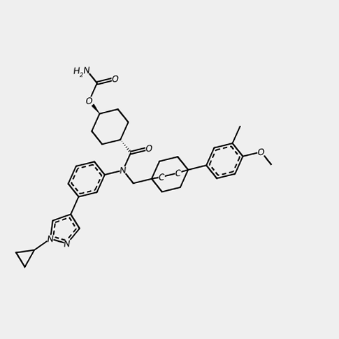 COc1ccc(C23CCC(CN(c4cccc(-c5cnn(C6CC6)c5)c4)C(=O)[C@H]4CC[C@H](OC(N)=O)CC4)(CC2)CC3)cc1C